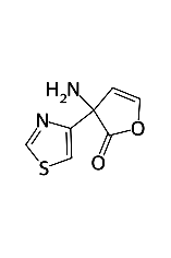 NC1(c2cscn2)C=COC1=O